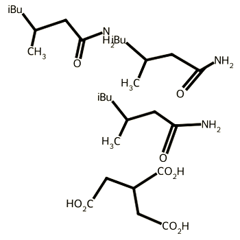 CCC(C)C(C)CC(N)=O.CCC(C)C(C)CC(N)=O.CCC(C)C(C)CC(N)=O.O=C(O)CC(CC(=O)O)C(=O)O